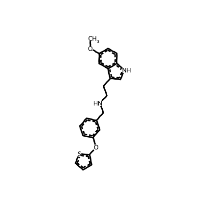 COc1ccc2[nH]cc(CCNCc3cccc(Oc4cccs4)c3)c2c1